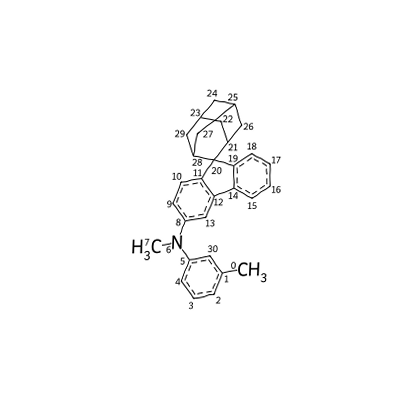 Cc1cccc(N(C)c2ccc3c(c2)-c2ccccc2C32C3CC4CC(C3)CC2C4)c1